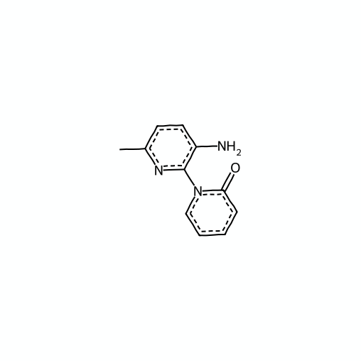 Cc1ccc(N)c(-n2ccccc2=O)n1